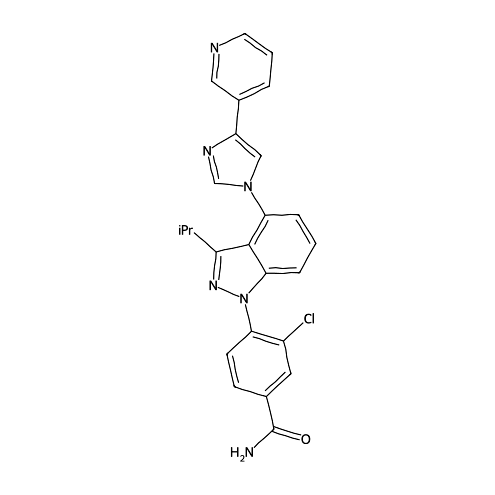 CC(C)c1nn(-c2ccc(C(N)=O)cc2Cl)c2cccc(-n3cnc(-c4cccnc4)c3)c12